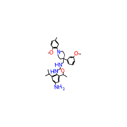 COc1cccc(C2(CNC(=O)Nc3c(C(C)C)cc(N)cc3C(C)C)CCN(c3cc(C)ccc3OC)CC2)c1